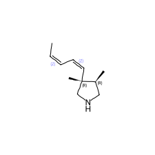 C/C=C\C=C/[C@@]1(C)CNC[C@@H]1C